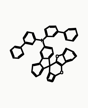 c1ccc(-c2cccc(N(c3cccc(-c4ccccc4)c3)c3ccc4c(c3)-c3ccccc3C43c4ccccc4Oc4c3oc3ccccc43)c2)cc1